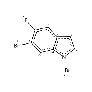 C[CH]C(C)n1ccc2cc(F)c(Br)cc21